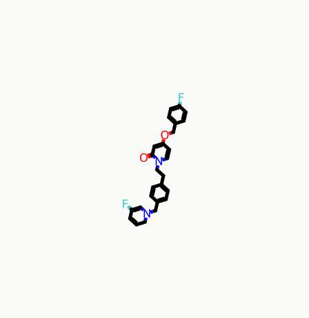 O=c1cc(OCc2ccc(F)cc2)ccn1CCc1ccc(CN2C=C(F)C=CC2)cc1